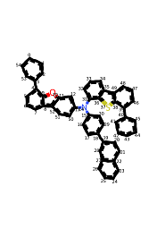 c1ccc(-c2cccc3c2oc2cc(N(c4ccc(-c5ccc6ccccc6c5)cc4)c4cccc5c4sc4c(-c6ccccc6)cccc45)ccc23)cc1